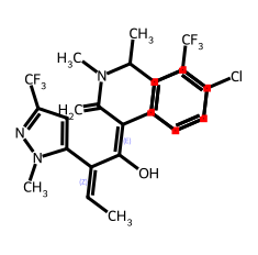 C=C(/C(=C(O)\C(=C/C)c1cc(C(F)(F)F)nn1C)c1ccc(Cl)c(C(F)(F)F)c1)N(C)C(C)c1ccccc1